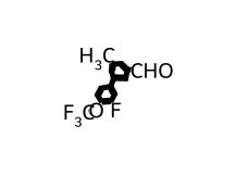 Cc1cc(C=O)cc(-c2ccc(OC(F)(F)F)c(F)c2)c1